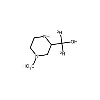 [2H]C([2H])(O)C1CN(C(=O)O)CCN1